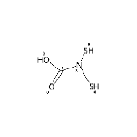 O=C(O)N(S)S